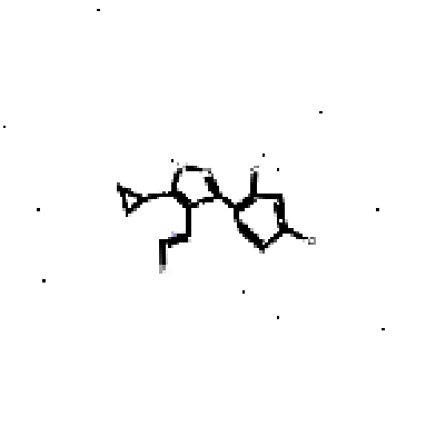 CC/C=C/c1c(-c2ccc(Cl)cc2Cl)noc1C1CC1